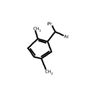 CC(=O)C(c1cc(C)ccc1C)C(C)C